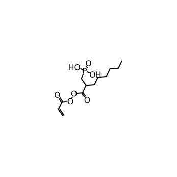 C=CC(=O)OOC(=O)C(CCCCCC)CP(=O)(O)O